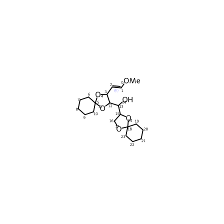 CO/C=C/C1OC2(CCCCC2)OC1C(O)C1COC2(CCCCC2)O1